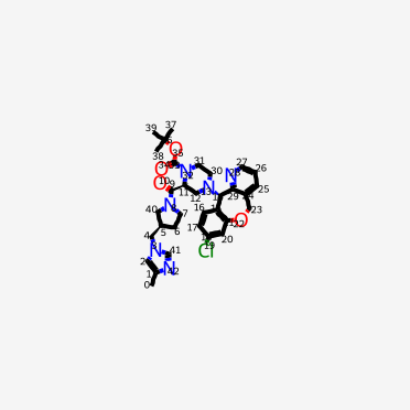 Cc1cn(C[C@@H]2CCN(C(=O)[C@@H]3CN([C@@H]4c5ccc(Cl)cc5OCc5cccnc54)CCN3C(=O)OC(C)(C)C)C2)cn1